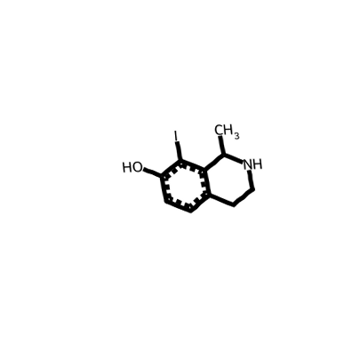 CC1NCCc2ccc(O)c(I)c21